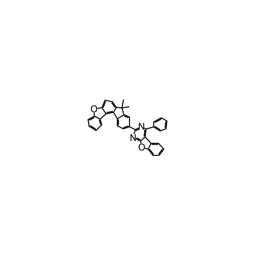 CC1(C)c2cc(-c3nc(-c4ccccc4)c4c(n3)oc3ccccc34)ccc2-c2c1ccc1oc3ccccc3c21